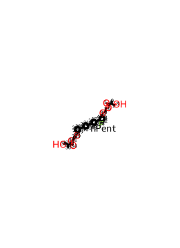 C=C(CO)C(=O)OCCOc1ccc(F)c(-c2ccc(-c3ccc(-c4cccc(OCCOC(=O)C(C)CO)c4)cc3)c(CCCCC)c2)c1